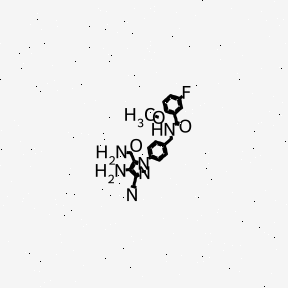 COc1ccc(F)cc1C(=O)NCc1ccc(-n2nc(C#N)c(N)c2C(N)=O)cc1